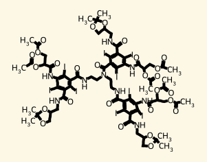 CC(=O)OCC(OC(C)=O)C(=O)Nc1c(I)c(C(=O)NCCN(CCNC(=O)c2c(I)c(NC(=O)C(COC(C)=O)OC(C)=O)c(I)c(C(=O)NCC3COC(C)(C)O3)c2I)C(=O)c2c(I)c(NC(=O)C(COC(C)=O)OC(C)=O)c(I)c(C(=O)NCC3COC(C)(C)O3)c2I)c(I)c(C(=O)NCC2COC(C)(C)O2)c1I